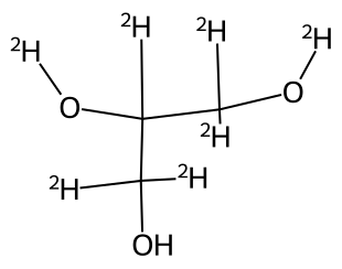 [2H]OC([2H])([2H])C([2H])(O[2H])C([2H])([2H])O